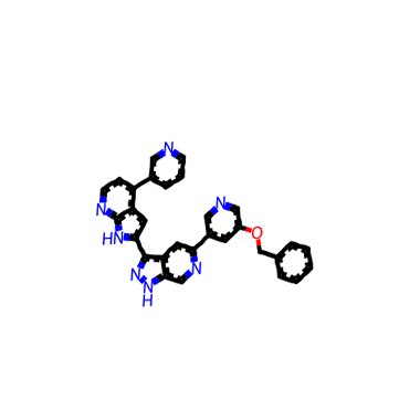 c1ccc(COc2cncc(-c3cc4c(-c5cc6c(-c7cccnc7)ccnc6[nH]5)n[nH]c4cn3)c2)cc1